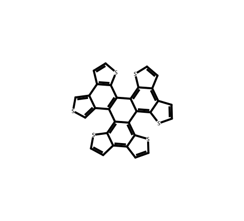 c1cc2c3ccsc3c3c(c2s1)c1c2cscc2c2ccsc2c1c1c2sccc2c2ccsc2c31